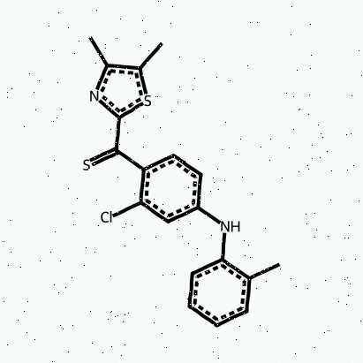 Cc1ccccc1Nc1ccc(C(=S)c2nc(C)c(C)s2)c(Cl)c1